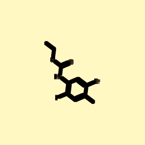 CCOC(=O)Nc1cc(Br)c(C)cc1F